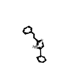 c1ccc(CCc2ncc(-c3ccccc3)[nH]2)cc1